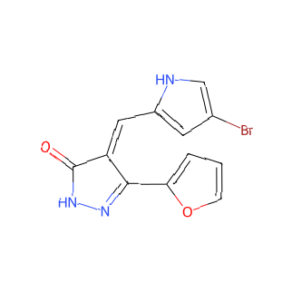 O=C1NN=C(c2ccco2)/C1=C\c1cc(Br)c[nH]1